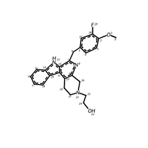 COc1ccc(Cc2nc3c(c4c2[nH]c2ccccc24)CCN(CCO)C3)cc1F